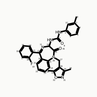 Cc1cccc(NC(=O)NC2N=C(c3ccccc3F)c3ccccc3N(Cc3c(C)noc3C)C2=O)c1